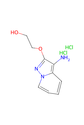 Cl.Cl.Nc1c(OCCO)nn2ccccc12